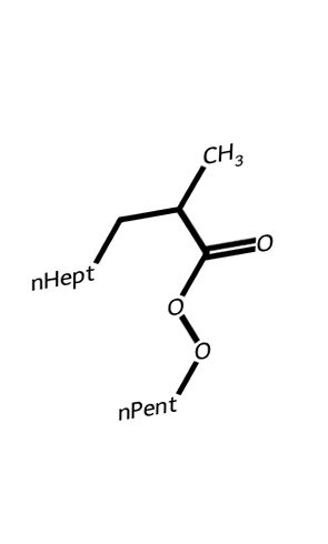 CCCCCCCCC(C)C(=O)OOCCCCC